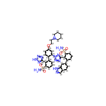 NS(=O)(=O)c1cccc(-c2ccc3cn[nH]c3c2)c1-c1nnn(-c2cc(OCCN3CCCCC3)ccc2-c2cccc(S(N)(=O)=O)c2-c2nn[nH]n2)n1